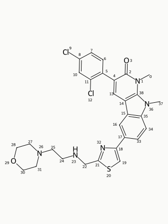 Cn1c(=O)c(-c2ccc(Cl)cc2Cl)cc2c3cc(-c4csc(CNCCN5CCOCC5)n4)ccc3n(C)c21